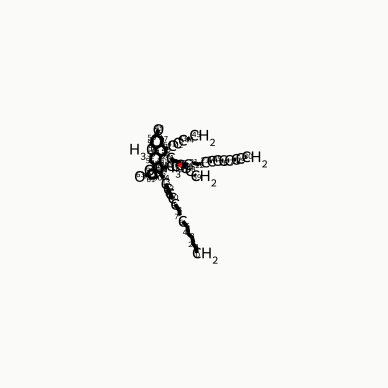 C=C=C=C=C=C=C=C=C=C=C=C=C=C=C=C1C(=C=C=C=C=C=C=C=C=C=C=C=C=C=C)C2C3C(=C=C=C=C=C=C)C(=C=C=C=C=C)C4=CC(=O)CCC4(C)C3CCC2(C)C12CCC(=O)O2